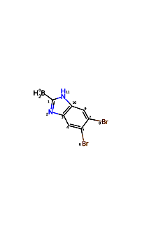 Bc1nc2cc(Br)c(Br)cc2[nH]1